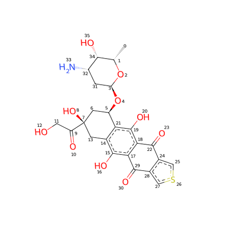 C[C@@H]1O[C@@H](O[C@@H]2C[C@@](O)(C(=O)CO)Cc3c(O)c4c(c(O)c32)C(=O)c2cscc2C4=O)C[C@H](N)[C@@H]1O